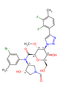 CO[C@@H]1[C@@H](n2cc(-c3ccc(C)c(F)c3F)nn2)[C@@H](O)[C@@H](CO)O[C@H]1C(=O)N(c1cc(C)cc(Br)c1)[C@H]1CN(C=O)C[C@@H]1O